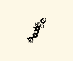 Cc1cc(-c2ccc(Cc3cc4c(=O)n(C5CCOCC5)cnc4c(C)c3C)cc2)cnn1